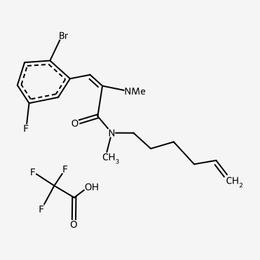 C=CCCCCN(C)C(=O)C(=Cc1cc(F)ccc1Br)NC.O=C(O)C(F)(F)F